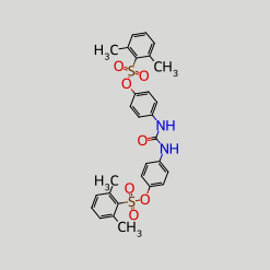 Cc1cccc(C)c1S(=O)(=O)Oc1ccc(NC(=O)Nc2ccc(OS(=O)(=O)c3c(C)cccc3C)cc2)cc1